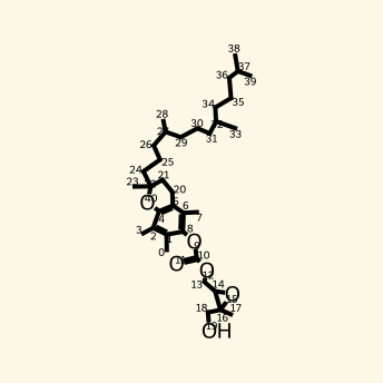 Cc1c(C)c2c(c(C)c1OC(=O)OCC1OC1(C)CO)CCC(C)(CCCC(C)CCCC(C)CCCC(C)C)O2